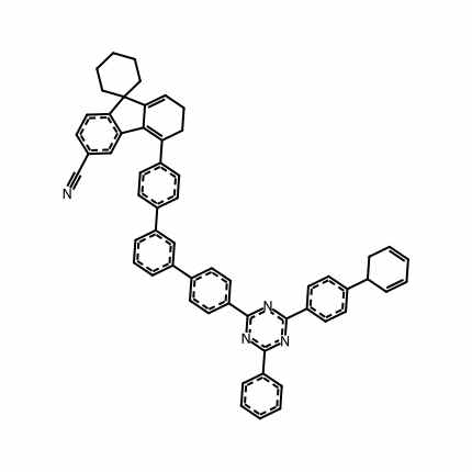 N#Cc1ccc2c(c1)C1=C(c3ccc(-c4cccc(-c5ccc(-c6nc(-c7ccccc7)nc(-c7ccc(C8C=CC=CC8)cc7)n6)cc5)c4)cc3)CCC=C1C21CCCCC1